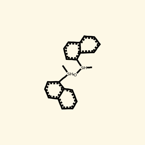 C[SiH](O[SiH](C)c1cccc2ccccc12)c1cccc2ccccc12